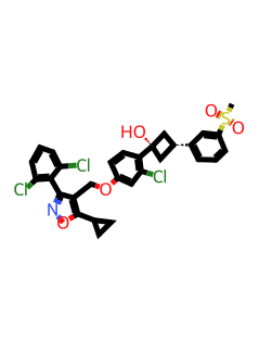 CS(=O)(=O)c1cccc([C@H]2C[C@](O)(c3ccc(OCc4c(-c5c(Cl)cccc5Cl)noc4C4CC4)cc3Cl)C2)c1